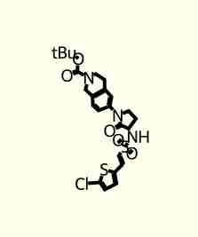 CC(C)(C)OC(=O)N1CCc2cc(N3CC[C@H](NS(=O)(=O)/C=C/c4ccc(Cl)s4)C3=O)ccc2C1